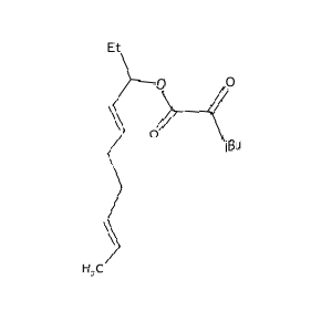 CC=CCCC=CC(CC)OC(=O)C(=O)C(C)CC